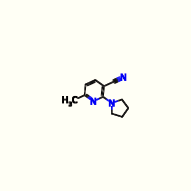 Cc1ccc(C#N)c(N2CCCC2)n1